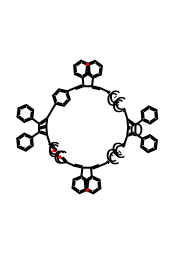 C=C1C2=C(c3ccccc3)C(c3ccccc3)=C1c1ccc(cc1)/C=C(c1ccccc1)\C(c1ccccc1)=C/c1ccc(cc1)C1=C(c3ccccc3)C(c3ccccc3)=C(C1=O)c1ccc(cc1)/C=C(c1ccccc1)\C(c1ccccc1)=C/c1ccc2cc1